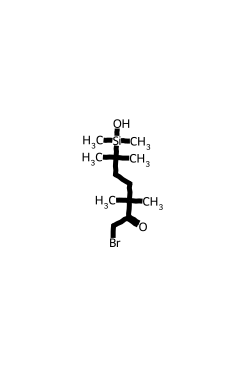 CC(C)(CCC(C)(C)[Si](C)(C)O)C(=O)CBr